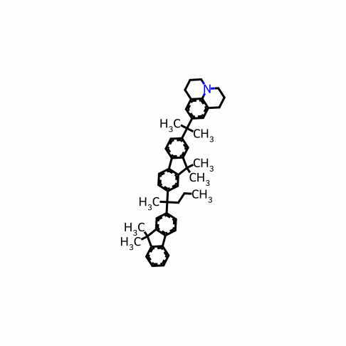 CCCC(C)(c1ccc2c(c1)C(C)(C)c1ccccc1-2)c1ccc2c(c1)C(C)(C)c1cc(C(C)(C)c3cc4c5c(c3)CCCN5CCC4)ccc1-2